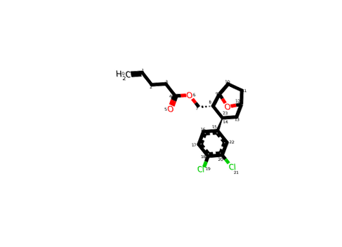 C=CCCC(=O)OC[C@@H]1C2CCC(C[C@H]1c1ccc(Cl)c(Cl)c1)O2